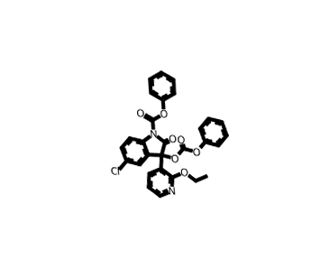 CCOc1ncccc1C1(OC(=O)Oc2ccccc2)C(=O)N(C(=O)Oc2ccccc2)c2ccc(Cl)cc21